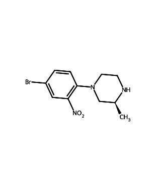 C[C@H]1CN(c2ccc(Br)cc2[N+](=O)[O-])CCN1